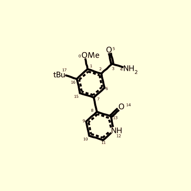 COc1c(C(N)=O)cc(-c2ccc[nH]c2=O)cc1C(C)(C)C